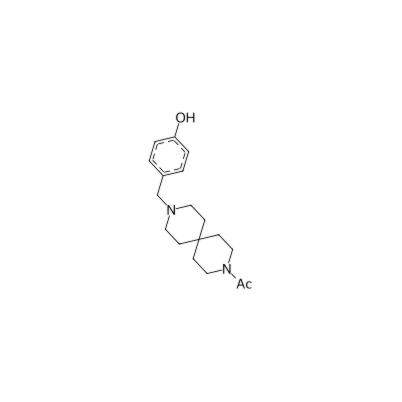 CC(=O)N1CCC2(CCN(Cc3ccc(O)cc3)CC2)CC1